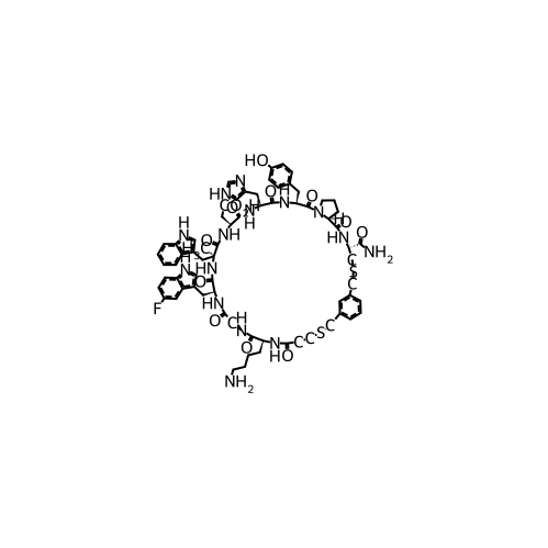 C[C@@]1(Cc2c[nH]c3ccccc23)NC(=O)[C@H](Cc2c[nH]c3ccc(F)cc23)NC(=O)CNC(=O)[C@H](CCCCN)NC(=O)CCSCc2cccc(c2)CSC[C@@H](C(N)=O)NC(=O)[C@@H]2CCCN2C(=O)[C@H](Cc2ccc(O)cc2)NC(=O)[C@H](Cc2c[nH]cn2)NC(=O)[C@H](CC(=O)O)NC1=O